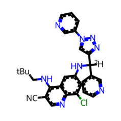 [2H]C(Nc1cc(Cl)c2ncc(C#N)c(NCC(C)(C)C)c2c1)(c1cccnc1)c1cn(-c2cccnc2)nn1